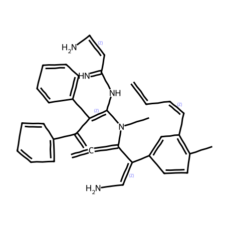 C=C=C(/C(=C\N)c1ccc(C)c(/C=C\C=C)c1)N(C)/C(NC(=N)/C=C\N)=C(\C(=C)c1ccccc1)c1ccccc1